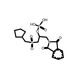 O=C1c2ccccc2C(=O)N1CC(CS(=O)(=O)CC1CCCC1)OP(=O)(O)O